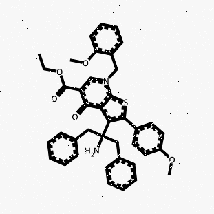 CCOC(=O)c1cn(Cc2ccccc2OC)c2sc(-c3ccc(OC)cc3)c(C(N)(Cc3ccccc3)Cc3ccccc3)c2c1=O